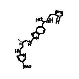 CSc1cnc(NC[C@H](C)CNc2nc3ccc(C(O)NCc4nnc[nH]4)cc3s2)nc1